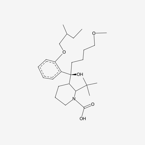 CCC(C)COc1ccccc1[C@](O)(CCCCOC)C1CCCN(C(=O)O)C1C(C)(C)C